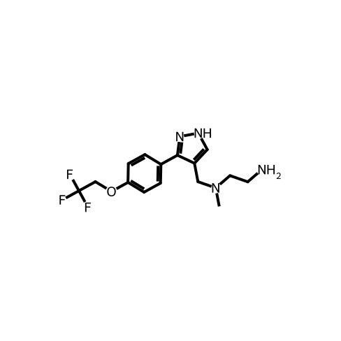 CN(CCN)Cc1c[nH]nc1-c1ccc(OCC(F)(F)F)cc1